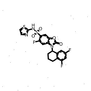 O=c1oc2cc(S(=O)(=O)Nc3nccs3)c(F)cc2n1C1CCCc2c(F)cc(F)cc21